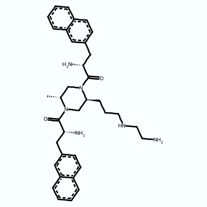 C[C@@H]1CN(C(=O)[C@H](N)Cc2ccc3ccccc3c2)[C@@H](CCCNCCN)CN1C(=O)[C@H](N)Cc1ccc2ccccc2c1